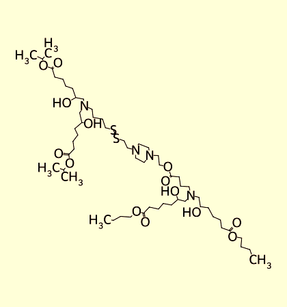 CCCCOC(=O)CCCCC(O)CN(CCCC(=O)OCCN1CCN(CCSSCCCCN(CC(O)CCCCC(=O)OC(C)C)CC(O)CCCCC(=O)OC(C)C)CC1)CC(O)CCCCC(=O)OCCCC